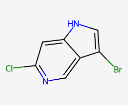 Clc1cc2[nH]cc(Br)c2cn1